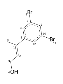 CC(=CCO)c1cc(Br)cc(Br)c1